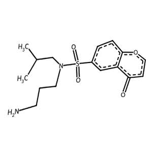 CC(C)CN(CCCN)S(=O)(=O)c1ccc2occc(=O)c2c1